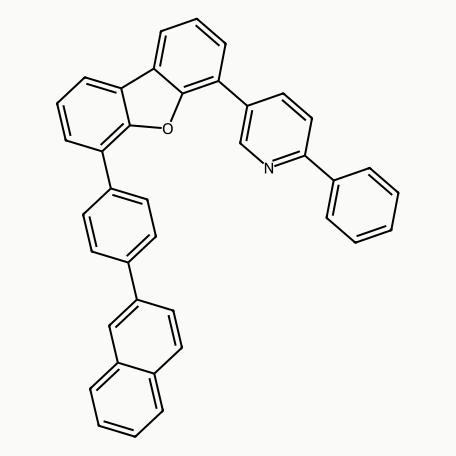 c1ccc(-c2ccc(-c3cccc4c3oc3c(-c5ccc(-c6ccc7ccccc7c6)cc5)cccc34)cn2)cc1